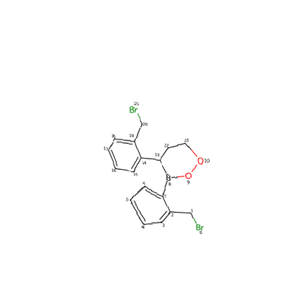 BrCc1ccccc1B1OOCCC1c1ccccc1CBr